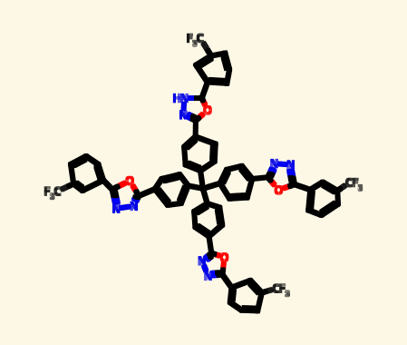 FC(F)(F)c1cccc(-c2nnc(-c3ccc(C(c4ccc(C5=NNC(c6cccc(C(F)(F)F)c6)O5)cc4)(c4ccc(-c5nnc(-c6cccc(C(F)(F)F)c6)o5)cc4)c4ccc(-c5nnc(-c6cccc(C(F)(F)F)c6)o5)cc4)cc3)o2)c1